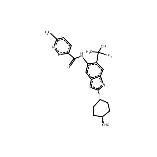 CC(C)(O)c1cc2nc([C@H]3CC[C@H](C=O)CC3)sc2cc1NC(=O)c1ccc(C(F)(F)F)nn1